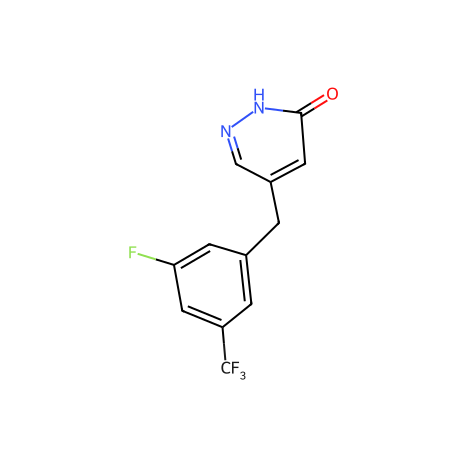 O=c1cc(Cc2cc(F)cc(C(F)(F)F)c2)cn[nH]1